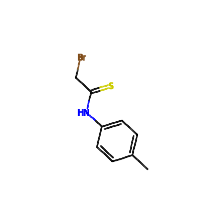 Cc1ccc(NC(=S)CBr)cc1